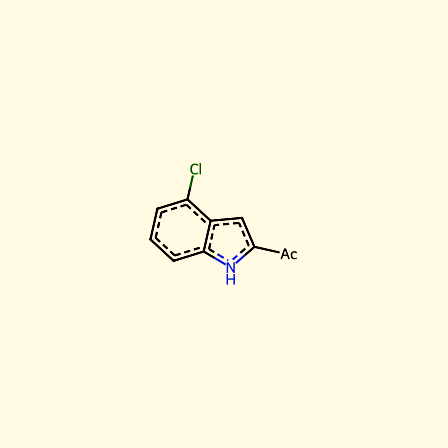 CC(=O)c1cc2c(Cl)cccc2[nH]1